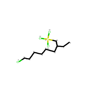 CCC(CCCCCCCl)CS(Cl)(Cl)Cl